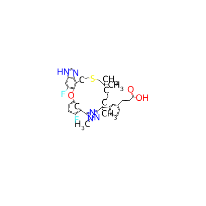 Cn1nc2nc1-c1cc(ccc1F)Oc1c(F)cc3[nH]cnc3c1CCSCC(C)(C)CCCC2(C)c1cccc(CCC(=O)O)c1